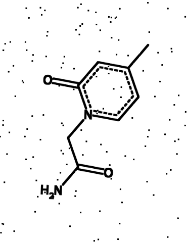 Cc1ccn(CC(N)=O)c(=O)c1